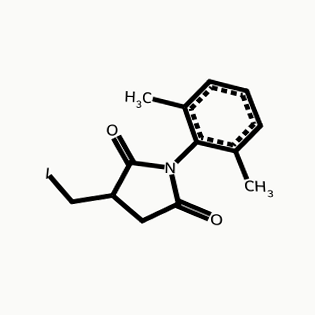 Cc1cccc(C)c1N1C(=O)CC(CI)C1=O